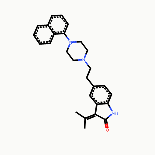 CC(C)=C1C(=O)Nc2ccc(CCN3CCN(c4cccc5ccccc45)CC3)cc21